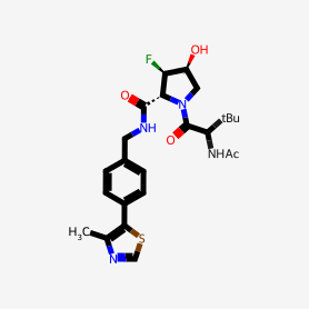 CC(=O)NC(C(=O)N1C[C@H](O)[C@H](F)[C@H]1C(=O)NCc1ccc(-c2scnc2C)cc1)C(C)(C)C